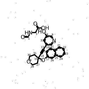 O=CNCC(=O)O.Oc1cncc(C#CC2(Oc3ccc4ccccc4c3)CCOCC2)c1